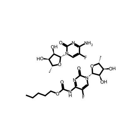 CCCCCOC(=O)Nc1nc(=O)n([C@@H]2O[C@H](C)[C@@H](O)[C@H]2O)cc1F.C[C@H]1O[C@@H](n2cc(F)c(N)nc2=O)[C@H](O)[C@@H]1O